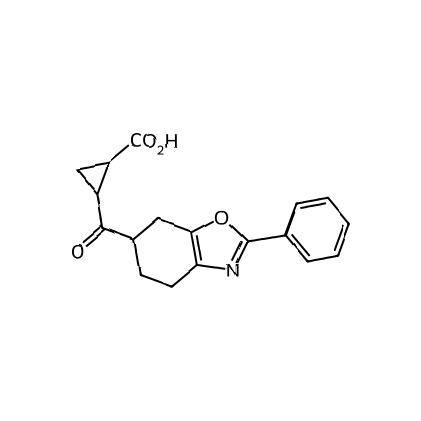 O=C(O)C1CC1C(=O)C1CCc2nc(-c3ccccc3)oc2C1